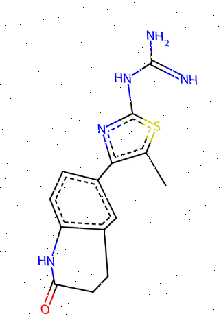 Cc1sc(NC(=N)N)nc1-c1ccc2c(c1)CCC(=O)N2